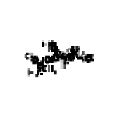 C[C@@]1(CN)CCC(c2ccc(Cl)cc2)=C(CN2CCN(c3ccc(C(=O)NS(=O)(=O)c4ccc(NCCCN5CCOCC5)c(S(=O)(=O)C(F)(F)F)c4)c(Oc4cnc5[nH]ccc5c4)c3)CC2)C1